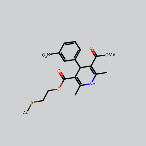 COC(=O)C1=C(C)NC(C)=C(C(=O)OCCSC(C)=O)C1c1cccc([N+](=O)[O-])c1